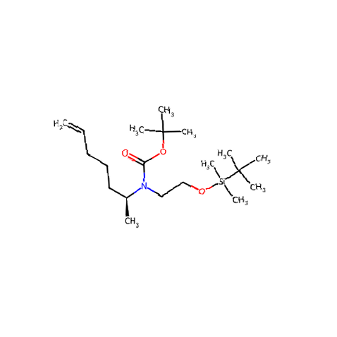 C=CCCC[C@H](C)N(CCO[Si](C)(C)C(C)(C)C)C(=O)OC(C)(C)C